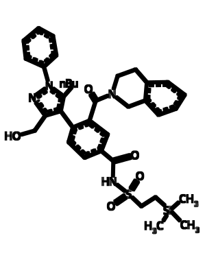 CCCCc1c(-c2ccc(C(=O)NS(=O)(=O)CC[Si](C)(C)C)cc2C(=O)N2CCc3ccccc3C2)c(CO)nn1-c1ccccc1